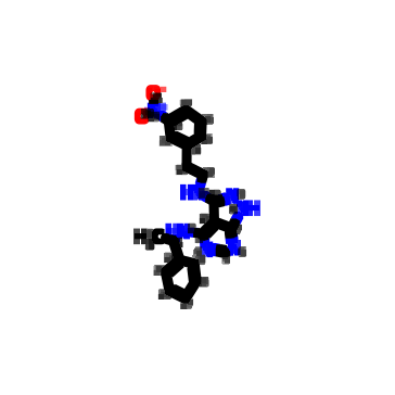 CC(Nc1ncnc2[nH]nc(NCCc3cccc([N+](=O)[O-])c3)c12)c1ccccc1